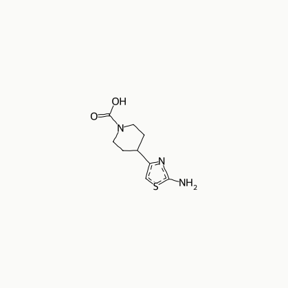 Nc1nc(C2CCN(C(=O)O)CC2)cs1